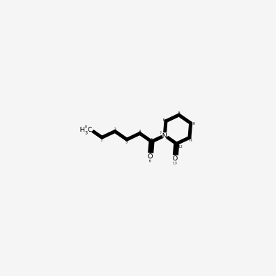 CCCCCC(=O)N1CCCCC1=O